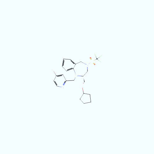 O=S(=O)(N1Cc2ccccc2N(Cc2cc(Br)ccn2)[C@H](COC2CCCC2)C1)C(F)(F)F